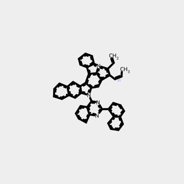 C=Cc1c(/C=C\C)c2cc3c(c4cc5ccccc5cc4n3-c3nc(-c4cccc5ccccc45)nc4ccccc34)c3c4ccccc4n1c23